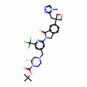 C[C@@H]1CN(Cc2cc(N3Cc4ccc(C5(Cc6nncn6C)COC5)cc4C3=O)nc(C(F)(F)F)c2)CCN1C(=O)OC(C)(C)C